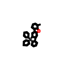 Cc1cccc2c1oc1cc3c(cc12)[Si](c1ccccc1)(c1ccccc1)c1ccccc1-3